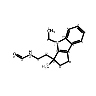 CCn1c2c(c3ccccc31)CCC2(C)CCNC=O